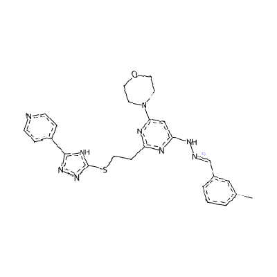 Cc1cccc(/C=N/Nc2cc(N3CCOCC3)nc(CCSc3nnc(-c4ccncc4)[nH]3)n2)c1